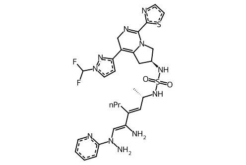 CCCC(=C\[C@H](C)NS(=O)(=O)N[C@H]1CC2=C(c3ccn(C(F)F)n3)CN=C(c3nccs3)N2C1)/C(N)=C/N(N)c1ccccn1